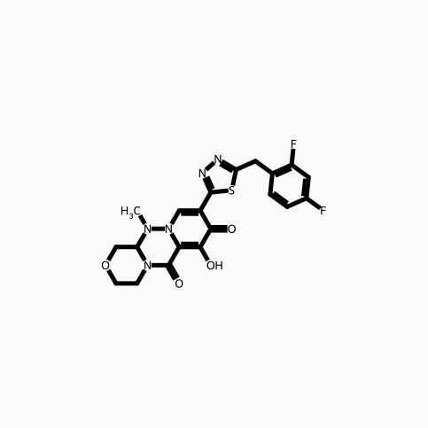 CN1C2COCCN2C(=O)c2c(O)c(=O)c(-c3nnc(Cc4ccc(F)cc4F)s3)cn21